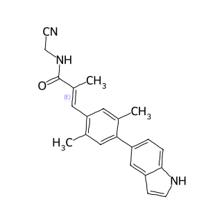 C/C(=C\c1cc(C)c(-c2ccc3[nH]ccc3c2)cc1C)C(=O)NCC#N